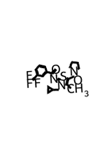 Cc1c(C(=O)N2CCCC2)s/c(=N\C(=O)c2cccc(C(F)(F)F)c2)n1CC1CC1